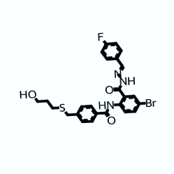 O=C(Nc1ccc(Br)cc1C(=O)N/N=C/c1ccc(F)cc1)c1ccc(CSCCCO)cc1